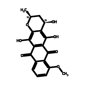 COc1cccc2c1C(=O)c1c(O)c3c(c(O)c1C2=O)O[C@@H](C)C[C@@H]3O